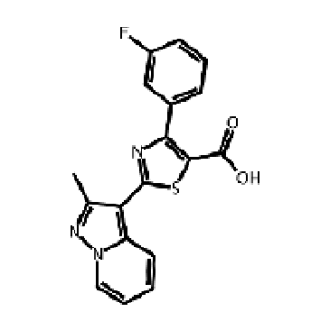 Cc1nn2ccccc2c1-c1nc(-c2cccc(F)c2)c(C(=O)O)s1